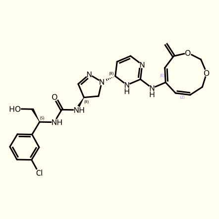 C=C1/C=C(NC2=NC=C[C@@H](N3C[C@@H](NC(=O)N[C@H](CO)c4cccc(Cl)c4)C=N3)N2)\C=C/COCO1